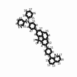 CC1(C)c2cc(-c3ccc(-c4cccc5cccnc45)cc3)cc3ccc4cc(-c5ccc(N(c6ccccc6)c6cccnc6)cc5)cc1c4c23